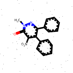 Cn1nc(-c2ccccc2)c(-c2ccccc2)c([N+](=O)[O-])c1=O